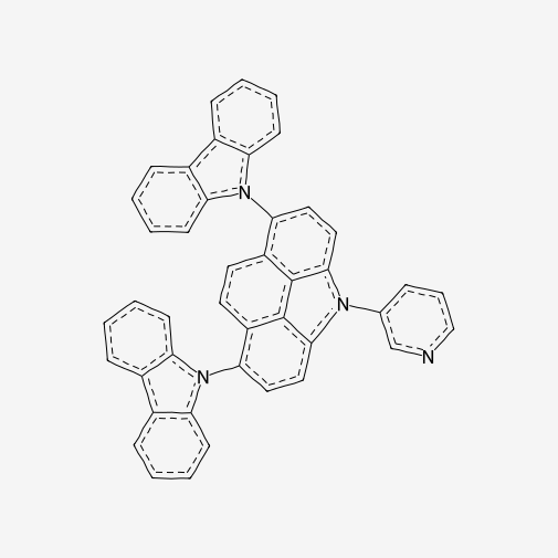 c1cncc(-n2c3ccc(-n4c5ccccc5c5ccccc54)c4ccc5c(-n6c7ccccc7c7ccccc76)ccc2c5c43)c1